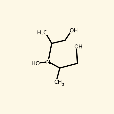 CC(CO)N(O)C(C)CO